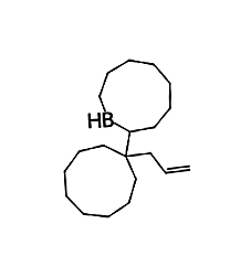 C=CCC1(C2BCCCCCCC2)CCCCCCCC1